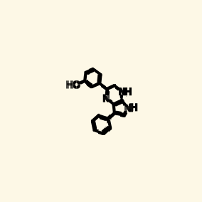 Oc1cccc(C2=Nc3c(-c4ccccc4)c[nH]c3NC2)c1